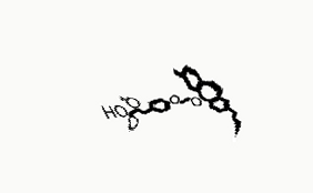 CCCc1ccc2c(c1)C=Cc1ccc(C)cc1C2OCCOc1ccc(CC(OC)C(=O)O)cc1